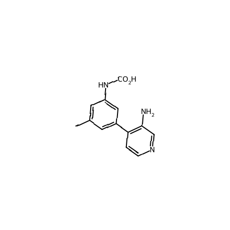 Cc1cc(NC(=O)O)cc(-c2ccncc2N)c1